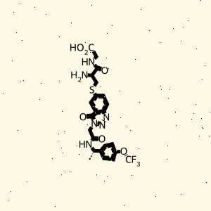 C[C@H](NC(=O)Cn1nnc2ccc(SCC(N)C(=O)NCC(=O)O)cc2c1=O)c1ccc(OC(F)(F)F)cc1